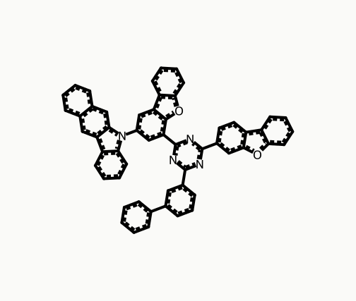 c1ccc(-c2cccc(-c3nc(-c4ccc5c(c4)oc4ccccc45)nc(-c4cc(-n5c6ccccc6c6cc7ccccc7cc65)cc5c4oc4ccccc45)n3)c2)cc1